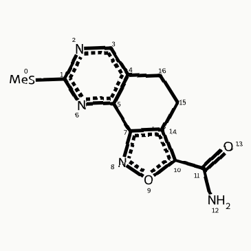 CSc1ncc2c(n1)-c1noc(C(N)=O)c1CC2